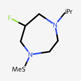 CSN1CCN(C(C)C)CC(F)C1